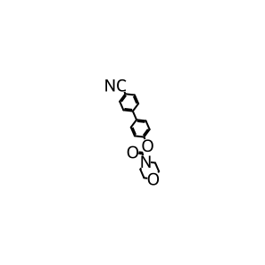 N#Cc1ccc(-c2ccc(OC(=O)N3CCOCC3)cc2)cc1